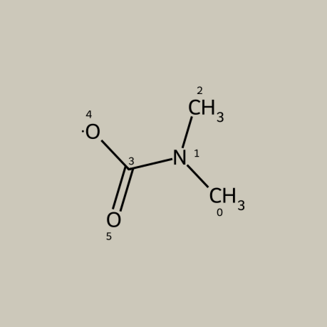 CN(C)C([O])=O